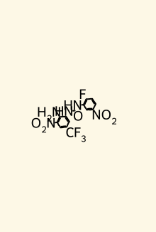 Nc1c(NC(=O)Nc2cc([N+](=O)[O-])ccc2F)cc(C(F)(F)F)cc1[N+](=O)[O-]